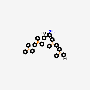 Cc1c(N)cccc1-c1ccccc1.[Pd].c1ccc(P(c2ccccc2)c2ccccc2)cc1.c1ccc(P(c2ccccc2)c2ccccc2)cc1.c1ccc(P(c2ccccc2)c2ccccc2)cc1.c1ccc(P(c2ccccc2)c2ccccc2)cc1